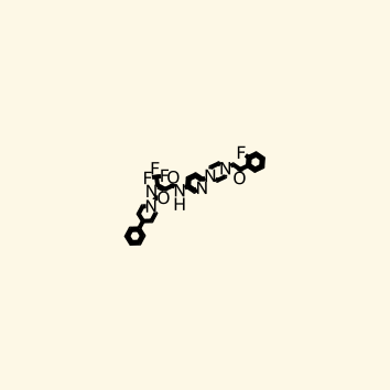 O=C(CN1CCN(c2ccc(NC(=O)c3oc(N4CCC(c5ccccc5)CC4)nc3C(F)(F)F)cn2)CC1)c1ccccc1F